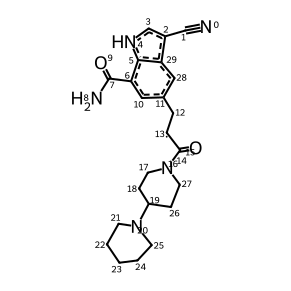 N#Cc1c[nH]c2c(C(N)=O)cc(C[CH]C(=O)N3CCC(N4CCCCC4)CC3)cc12